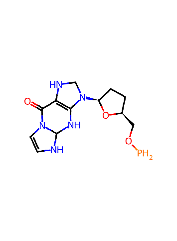 O=C1C2=C(NC3NC=CN13)N([C@H]1CC[C@@H](COP)O1)CN2